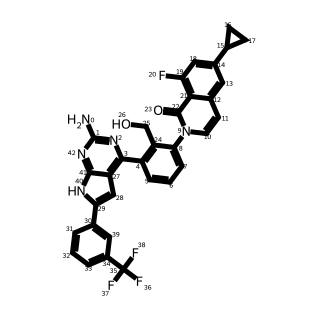 Nc1nc(-c2cccc(-n3ccc4cc(C5CC5)cc(F)c4c3=O)c2CO)c2cc(-c3cccc(C(F)(F)F)c3)[nH]c2n1